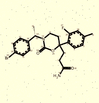 Cc1ccc(C2(CCC(N)=O)CCN([C@@H](C)c3ccc(Br)cc3)C(=O)O2)c(F)c1